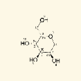 OC[C@@H]1OC[C@@H](O)[C@@H](O)[C@@H]1O